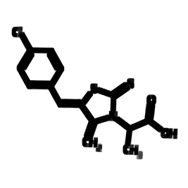 C=c1/c(=C/c2ccc(Cl)cc2)sc(=S)n1C(C)C(=O)O